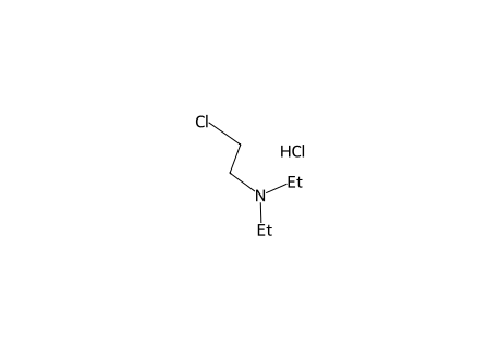 Cl.[CH2]CN(CC)CCCl